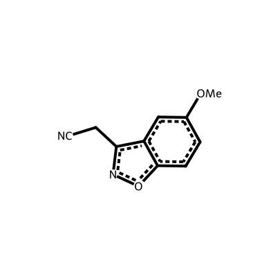 COc1ccc2onc(CC#N)c2c1